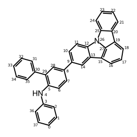 c1ccc(Nc2ccc(-c3ccc4c(c3)c3cccc5c6ccccc6n4c53)cc2-c2ccccc2)cc1